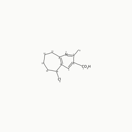 Cc1nc2c(cc1C(=O)O)C(Cl)CCCC2